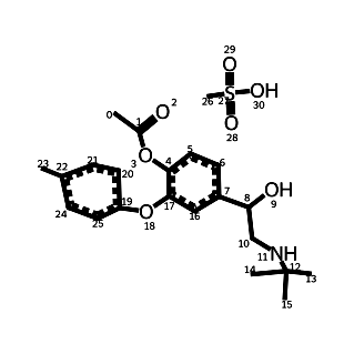 CC(=O)Oc1ccc(C(O)CNC(C)(C)C)cc1Oc1ccc(C)cc1.CS(=O)(=O)O